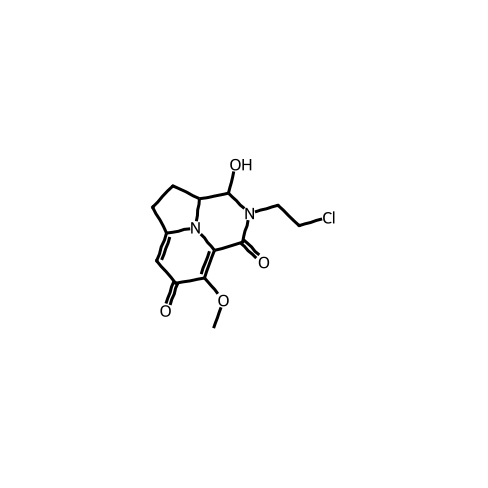 COc1c2n3c(cc1=O)CCC3C(O)N(CCCl)C2=O